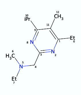 CCc1nc(CN(C)CC)nc(C(C)C)c1C